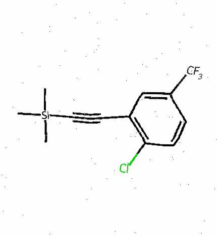 C[Si](C)(C)C#Cc1cc(C(F)(F)F)ccc1Cl